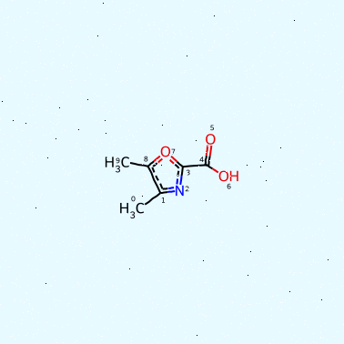 Cc1nc(C(=O)O)oc1C